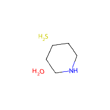 C1CCNCC1.O.S